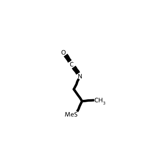 CSC(C)CN=C=O